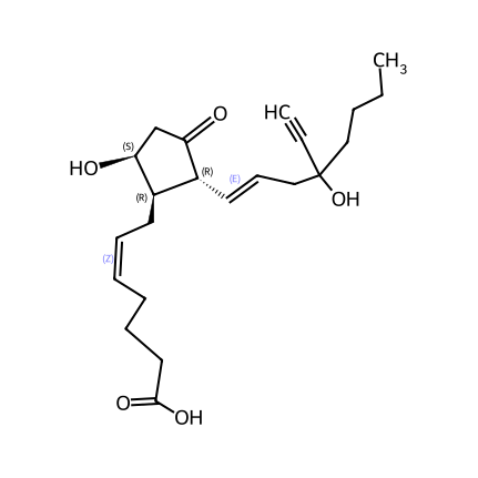 C#CC(O)(C/C=C/[C@H]1C(=O)C[C@H](O)[C@@H]1C/C=C\CCCC(=O)O)CCCC